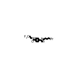 CC(C)CCCc1nc(-c2ccc(C(=O)NCCC(F)(F)F)cc2)cs1